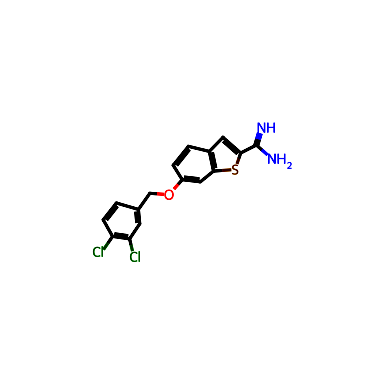 N=C(N)c1cc2ccc(OCc3ccc(Cl)c(Cl)c3)cc2s1